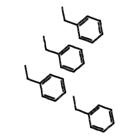 CCc1ccccc1.CCc1ccccc1.CCc1ccccc1.CCc1ccccc1